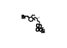 C[C@H](CCC1=C[C@](C)(O[Si](C)(C)C)C(=O)O1)[C@H]1CCC2C(=CBr)CCC[C@]21C